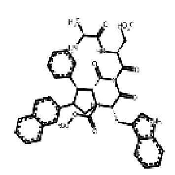 C[C@H](N)C(=O)N[C@@H](CC(=O)O)C(=O)N(C(=O)[C@H](Cc1c[nH]c2ccccc12)NC(=O)OC(C)(C)C)C(=O)[C@@H]1CCC(c2ccc3ccccc3c2)[C@H]1c1ccccc1